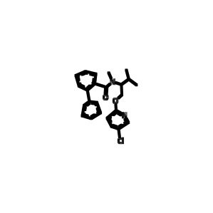 CC(C)C(COc1ccc(Cl)cn1)N(C)C(=O)c1ccccc1-c1ccccc1